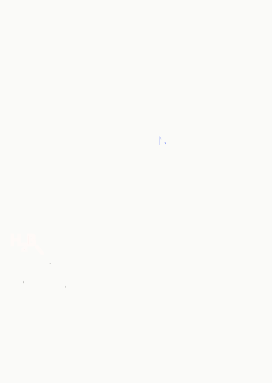 BC(C)(C)c1ccc(-c2ccc(-c3ccccc3)nc2)cc1